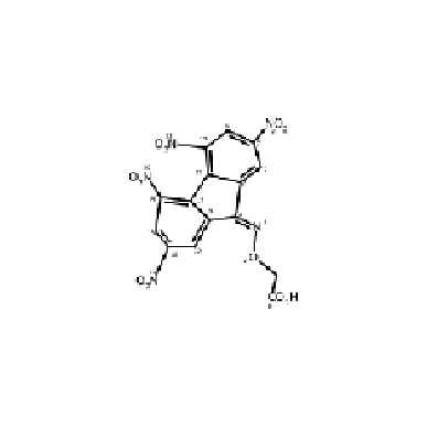 O=C(O)CON=C1c2cc([N+](=O)[O-])cc([N+](=O)[O-])c2-c2c1cc([N+](=O)[O-])cc2[N+](=O)[O-]